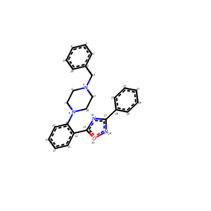 c1ccc(CN2CCN(c3ccccc3-c3nc(-c4ccccc4)no3)CC2)cc1